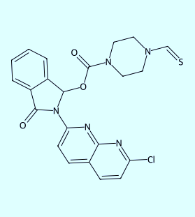 O=C(OC1c2ccccc2C(=O)N1c1ccc2ccc(Cl)nc2n1)N1CCN(C=S)CC1